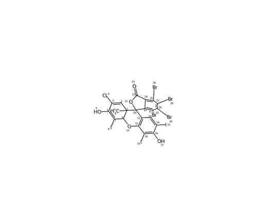 CC12C=C(Cl)C(O)=C(I)C1Oc1c(cc(I)c(O)c1I)C21OC(=O)c2c(Br)c(Br)c(Br)c(Br)c21